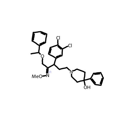 CO/N=C(\COC(C)c1ccccc1)C(CCN1CCC(O)(c2ccccc2)CC1)c1ccc(Cl)c(Cl)c1